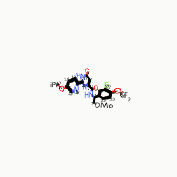 COCC(NC(=O)c1cc(=O)[nH]c(-c2ccc(OC(C)C)cn2)n1)c1ccc(OC(F)(F)F)c(F)c1